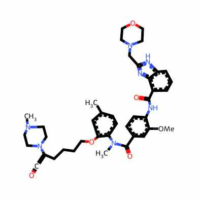 COc1cc(C(=O)N(C)c2ccc(C)cc2OCCCCC(=C=O)N2CCN(C)CC2)ccc1NC(=O)c1cccc2[nH]c(CN3CCOCC3)nc12